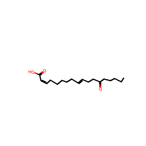 CCCCCC(=O)CCC=CCCCCC/C=C\C(=O)O